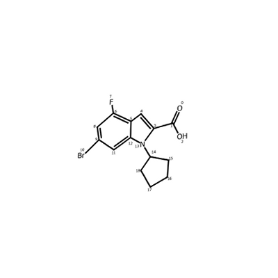 O=C(O)c1cc2c(F)cc(Br)cc2n1C1CCCC1